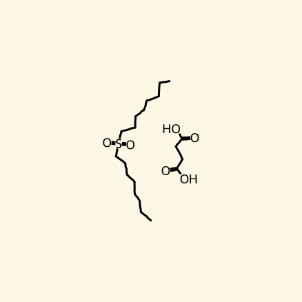 CCCCCCCCS(=O)(=O)CCCCCCCC.O=C(O)CCC(=O)O